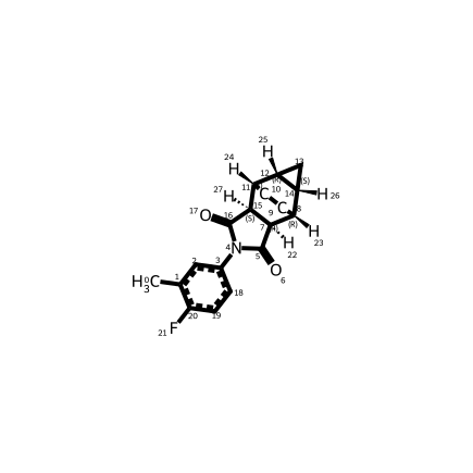 Cc1cc(N2C(=O)[C@@H]3[C@@H]4CC[C@@H]([C@@H]5C[C@@H]54)[C@@H]3C2=O)ccc1F